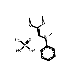 COC(=C[C@H](C)c1ccccc1)OC.OP(O)(=S)S